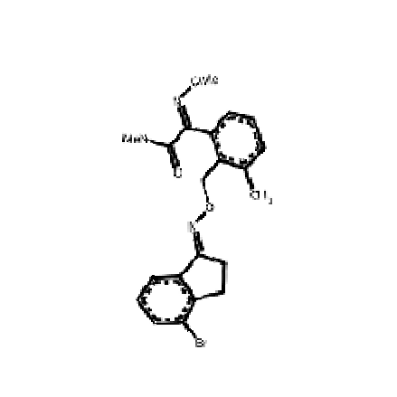 CNC(=O)/C(=N/OC)c1cccc(C)c1CO/N=C1\CCc2c(Br)cccc21